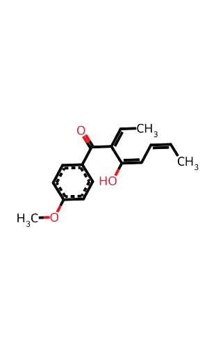 C\C=C/C=C(O)\C(=C/C)C(=O)c1ccc(OC)cc1